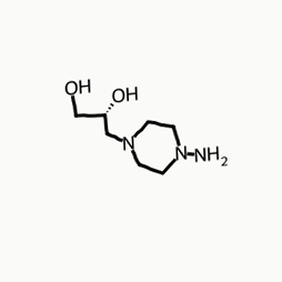 NN1CCN(C[C@@H](O)CO)CC1